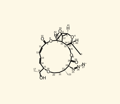 CC1=C[C@H]2O[C@@H]3C[C@H]4OC(=O)/C=C\C=C\[C@H]([C@@H](C)O)OCC[C@@H](C)[C@H](N=[N+]=[N-])C(=O)OC[C@@]2(CC1)[C@]4(C)[C@]31CO1